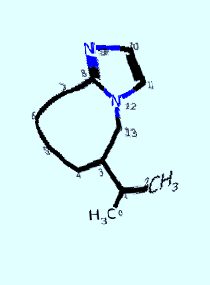 CC(C)C1CCCCc2nccn2C1